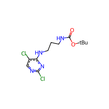 CC(C)(C)OC(=O)NCCCNc1nc(Cl)ncc1Cl